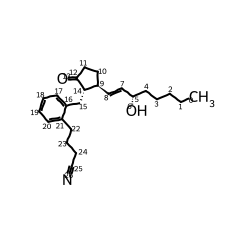 CCCCC[C@H](O)/C=C/[C@@H]1CCC(=O)[C@H]1Cc1ccccc1CCCC#N